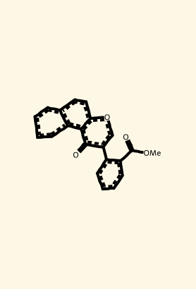 COC(=O)c1ccccc1-c1coc2ccc3ccccc3c2c1=O